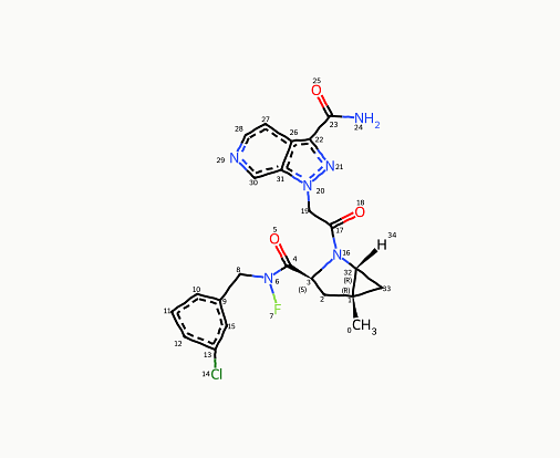 C[C@@]12C[C@@H](C(=O)N(F)Cc3cccc(Cl)c3)N(C(=O)Cn3nc(C(N)=O)c4ccncc43)[C@@H]1C2